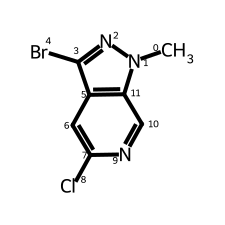 Cn1nc(Br)c2cc(Cl)ncc21